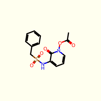 CC(=O)On1cccc(NS(=O)(=O)Cc2ccccc2)c1=O